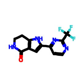 O=C1NCCc2[nH]c(-c3ccnc(C(F)(F)F)n3)cc21